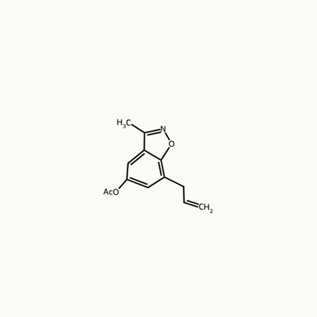 C=CCc1cc(OC(C)=O)cc2c(C)noc12